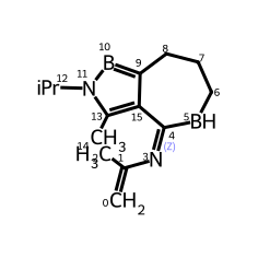 C=C(C)/N=C1/BCCCc2bn(C(C)C)c(C)c21